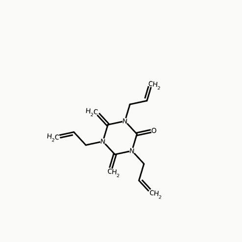 C=CCN1C(=C)N(CC=C)C(=O)N(CC=C)C1=C